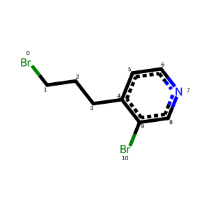 BrCCCc1ccncc1Br